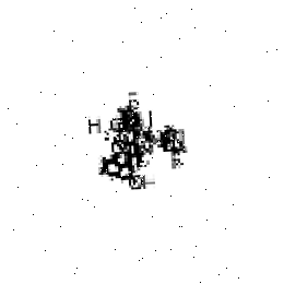 C#Cc1cccc2cc(O)cc(-c3nc4c5c(nc(OCC67CCCN6CC(F)C7)nc5c3F)N3CC5NC(C)(CC5F)C3CO4)c12